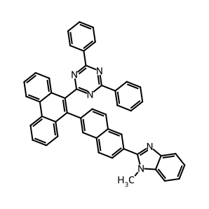 Cn1c(-c2ccc3cc(-c4c(-c5nc(-c6ccccc6)nc(-c6ccccc6)n5)c5ccccc5c5ccccc45)ccc3c2)nc2ccccc21